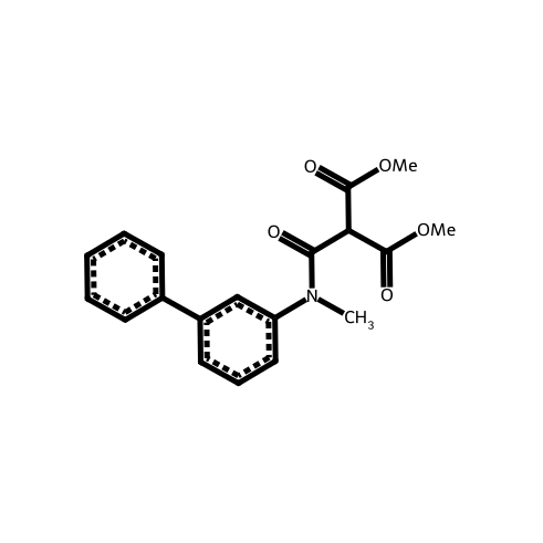 COC(=O)C(C(=O)OC)C(=O)N(C)c1cccc(-c2ccccc2)c1